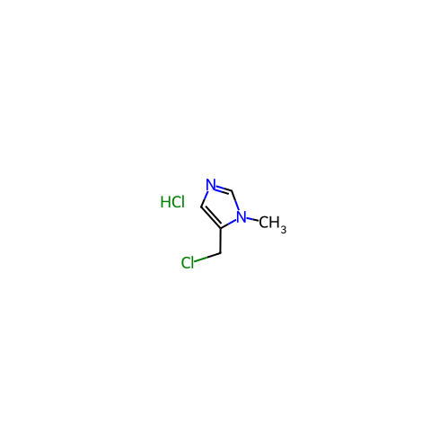 Cl.Cn1cncc1CCl